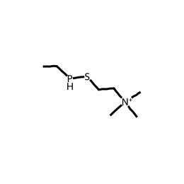 CCPSCC[N+](C)(C)C